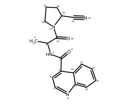 CC(NC(=O)c1ccnc2ccccc12)C(=O)N1CCCC1C#N